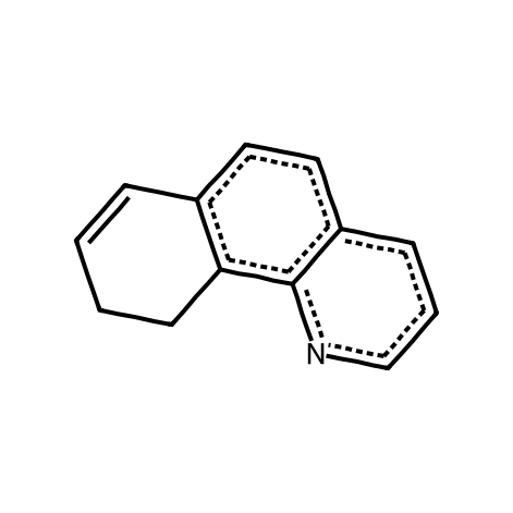 C1=Cc2ccc3cccnc3c2CC1